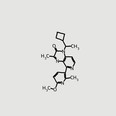 COc1ccc(-c2nccc3c2nc(C)c(=O)n3C(C)C2CCC2)c(C)n1